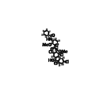 COc1c(NC(=O)c2ccccc2)cccc1C(=O)NC1C(Cl)=CC(C(O)(c2ccc(Cl)cc2)C(F)(F)F)=CC1(Cl)OC